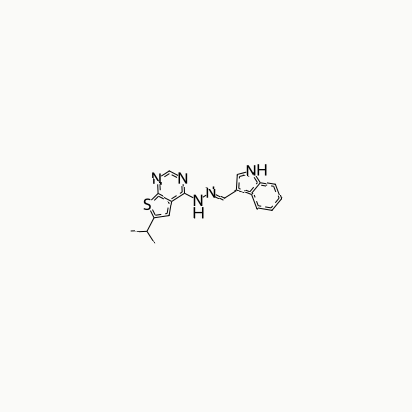 CC(C)c1cc2c(NN=Cc3c[nH]c4ccccc34)ncnc2s1